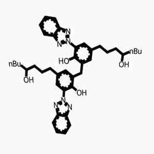 CCCCC(O)CCCc1cc(Cc2cc(CCCC(O)CCCC)cc(-n3nc4ccccc4n3)c2O)c(O)c(-n2nc3ccccc3n2)c1